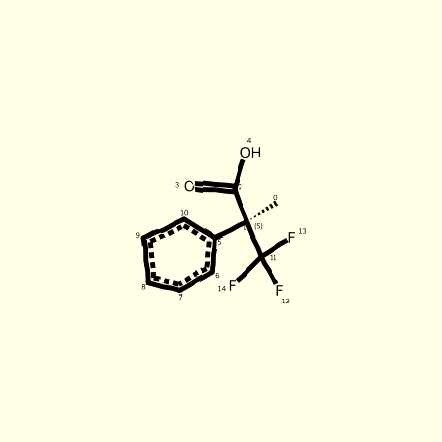 C[C@@](C(=O)O)(c1ccccc1)C(F)(F)F